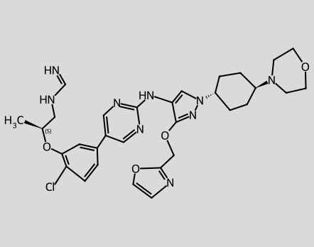 C[C@@H](CNC=N)Oc1cc(-c2cnc(Nc3cn([C@H]4CC[C@H](N5CCOCC5)CC4)nc3OCc3ncco3)nc2)ccc1Cl